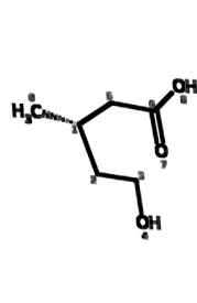 C[C@@H](CCO)CC(=O)O